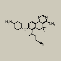 CN(CCC#N)c1c(O[C@H]2CC[C@H](N)CC2)ccc2c1CC(C)(C)c1c(N)ncnc1-2